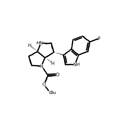 CC(C)(C)OC(=O)N1CC[C@H]2NC[C@H](c3c[nH]c4cc(F)ccc34)[C@H]21